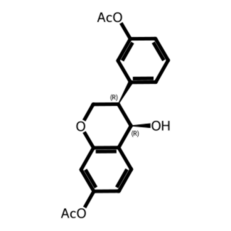 CC(=O)Oc1cccc([C@@H]2COc3cc(OC(C)=O)ccc3[C@@H]2O)c1